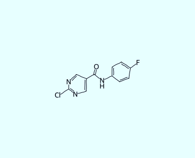 O=C(Nc1ccc(F)cc1)c1cnc(Cl)nc1